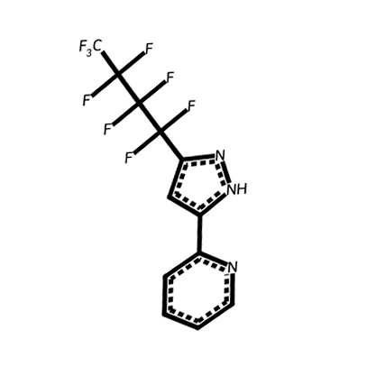 FC(F)(F)C(F)(F)C(F)(F)C(F)(F)c1cc(-c2ccccn2)[nH]n1